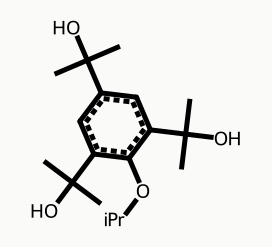 CC(C)Oc1c(C(C)(C)O)cc(C(C)(C)O)cc1C(C)(C)O